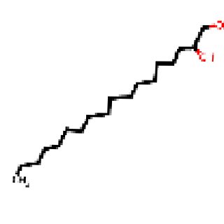 CCCCCCCCCCCCCCCCC(O)[CH]O